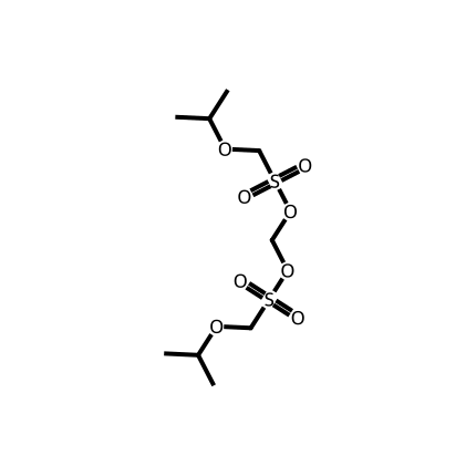 CC(C)OCS(=O)(=O)OCOS(=O)(=O)COC(C)C